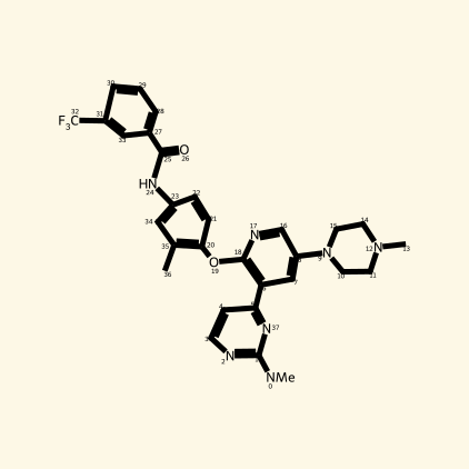 CNc1nccc(-c2cc(N3CCN(C)CC3)cnc2Oc2ccc(NC(=O)c3cccc(C(F)(F)F)c3)cc2C)n1